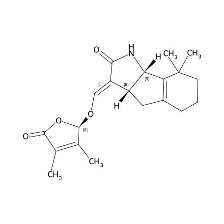 CC1=C(C)[C@H](O/C=C2/C(=O)N[C@@H]3C4=C(CCCC4(C)C)C[C@H]23)OC1=O